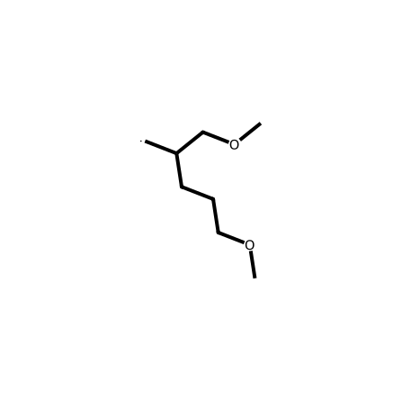 [CH2]C(CCCOC)COC